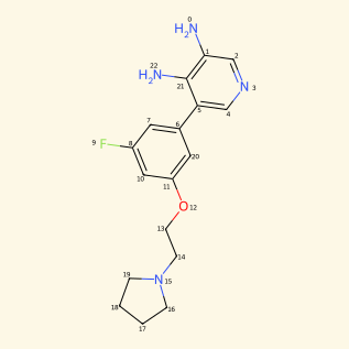 Nc1cncc(-c2cc(F)cc(OCCN3CCCC3)c2)c1N